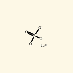 O=P([O-])([O-])[O-].[Lu+3]